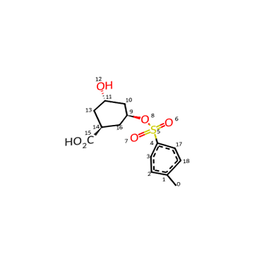 Cc1ccc(S(=O)(=O)O[C@@H]2C[C@@H](O)C[C@H](C(=O)O)C2)cc1